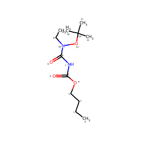 CCCCOC(=O)NC(=O)N(CC)OC(C)(C)C